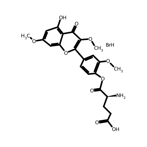 Br.COc1cc(O)c2c(=O)c(OC)c(-c3ccc(OC(=O)[C@@H](N)CCC(=O)O)c(OC)c3)oc2c1